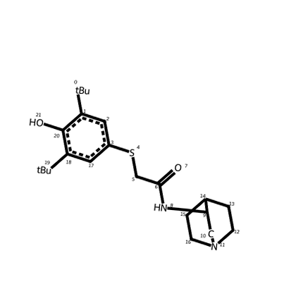 CC(C)(C)c1cc(SCC(=O)NC2CN3CCC2CC3)cc(C(C)(C)C)c1O